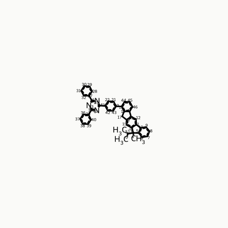 CC(C)C1(C)c2ccccc2-c2cc3c(cc21)Cc1c(-c2ccc(-c4nc(-c5ccccc5)nc(-c5ccccc5)n4)cc2)cccc1-3